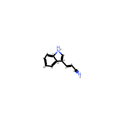 N#CC=Cc1c[nH]c2ccccc12